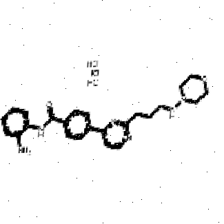 Cl.Cl.Cl.Nc1ccccc1NC(=O)c1ccc(-c2ccnc(CCCNN3CCOCC3)n2)cc1